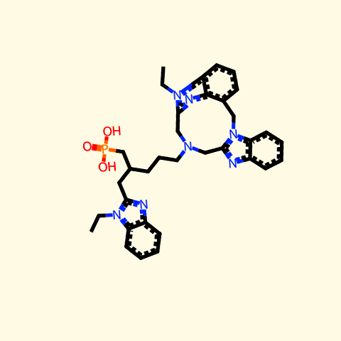 CCn1c(CC(CCCN2Cc3nc4ccccc4n3Cc3cccc4c3nc(n4CC)C2)CP(=O)(O)O)nc2ccccc21